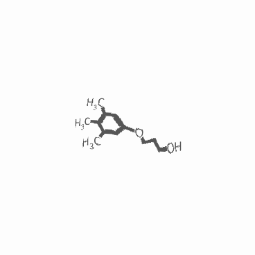 Cc1cc(OCCCO)cc(C)c1C